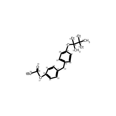 CCC(C)(CC)C(C)(CC)Oc1ccc(Cc2ccc(OC(=O)C(C)(C)C)cc2)cc1